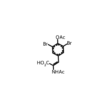 CC(=O)NC(=Cc1cc(Br)c(OC(C)=O)c(Br)c1)C(=O)O